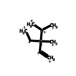 C=C[Si](C)(CC)N(C)C